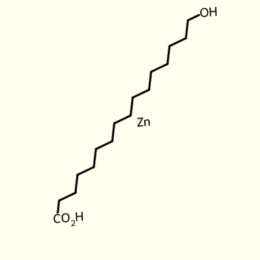 O=C(O)CCCCCCCCCCCCCCCO.[Zn]